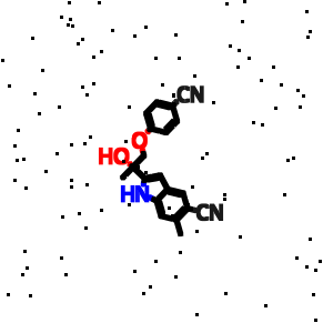 Cc1cc2[nH]c(C(C)(O)COc3ccc(C#N)cc3)cc2cc1C#N